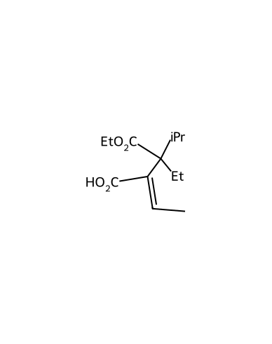 CC=C(C(=O)O)C(CC)(C(=O)OCC)C(C)C